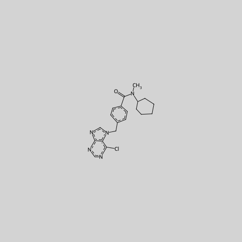 CN(C(=O)c1ccc(Cn2cnc3ncnc(Cl)c32)cc1)C1CCCCC1